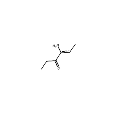 C/C=C(\N)C(=O)CC